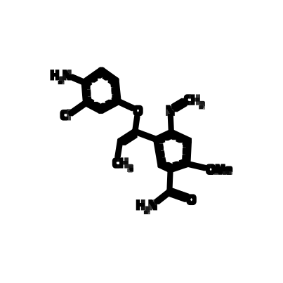 C=Nc1cc(OC)c(C(N)=O)cc1/C(=C\C)Oc1ccc(N)c(Cl)c1